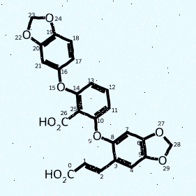 O=C(O)/C=C/c1cc2c(cc1Oc1cccc(Oc3ccc4c(c3)OCO4)c1C(=O)O)OCO2